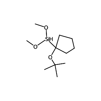 CO[SiH](OC)C1(OC(C)(C)C)CCCC1